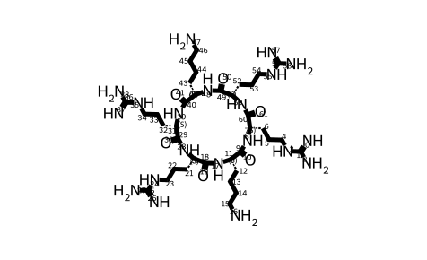 N=C(N)NCCC[C@@H]1NC(=O)[C@H](CCCCN)NC(=O)[C@H](CCCNC(=N)N)NC(=O)[C@H](CCCNC(=N)N)NC(=O)[C@H](CCCCN)NC(=O)[C@H](CCCNC(=N)N)NC1=O